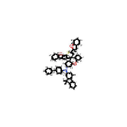 CC1(C)c2ccccc2-c2ccc(N(c3ccc(-c4ccccc4)cc3)c3ccc4c(c3)Oc3ccccc3C43c4ccc5c(oc6ccccc65)c4Sc4c3ccc3c4oc4ccccc43)cc21